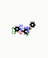 O=C(Nc1ccc(F)c(Cl)c1)c1cc(F)nc(NSc2ccccc2)c1